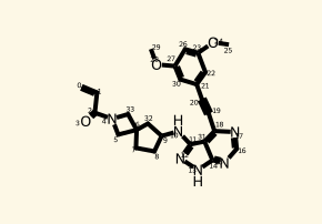 C=CC(=O)N1CC2(CCC(Nc3n[nH]c4ncnc(C#Cc5cc(OC)cc(OC)c5)c34)C2)C1